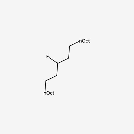 CCCCCCCCCC[C](F)CCCCCCCCCC